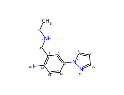 CCNCc1cc(-n2cccn2)ccc1I